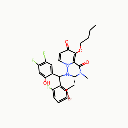 CCCCOc1c2n(ccc1=O)N(C(c1cc(F)c(F)cc1O)c1ccccc1F)[C@@H](CCBr)N(C)C2=O